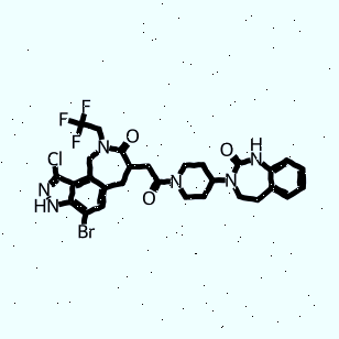 O=C(CC1Cc2cc(Br)c3[nH]nc(Cl)c3c2CN(CC(F)(F)F)C1=O)N1CCC(N2CCc3ccccc3NC2=O)CC1